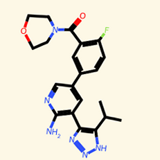 CC(C)c1[nH]nnc1-c1cc(-c2ccc(F)c(C(=O)N3CCOCC3)c2)cnc1N